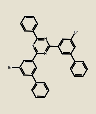 Brc1cc(-c2ccccc2)cc(-c2nc(-c3ccccc3)nc(-c3cc(Br)cc(-c4ccccc4)c3)n2)c1